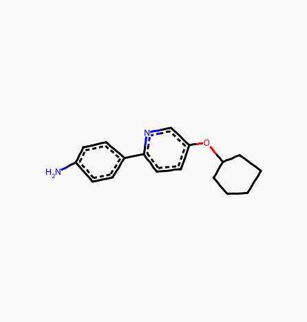 Nc1ccc(-c2ccc(OC3CCCCC3)cn2)cc1